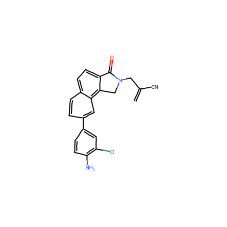 C=C(C#N)CN1Cc2c(ccc3ccc(-c4ccc(N)c(Cl)c4)cc23)C1=O